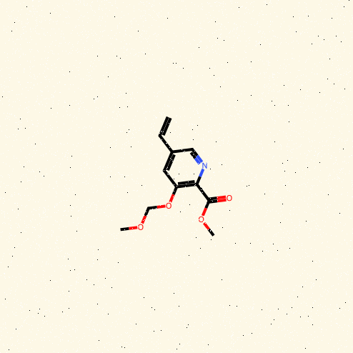 C=Cc1cnc(C(=O)OC)c(OCOC)c1